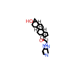 C[C@]12CC[C@@H]3[C@H]4CC[C@]5(O)CC5[C@@H]4CC[C@H]3[C@@H]1CC[C@@H]2C(=O)Cn1nc2ccncc2n1